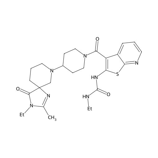 CCNC(=O)Nc1sc2ncccc2c1C(=O)N1CCC(N2CCCC3(C2)N=C(C)N(CC)C3=O)CC1